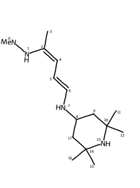 CNN/C(C)=C\C=C\NC1CC(C)(C)NC(C)(C)C1